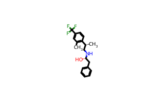 Cc1cc(C(F)(F)F)ccc1[C@H](C)CN[C@@H](O)Cc1ccccc1